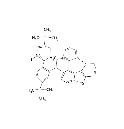 C=C1C(c2cc(C(C)(C)C)ccc2-c2ccc(C(C)(C)C)c[n+]2I)c2ccc3sc4cccc5c6ccc[n+]1c6c2c3c45